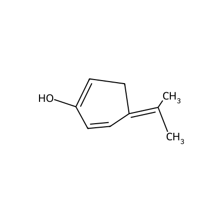 CC(C)=C1C=CC(O)=CC1